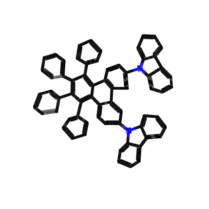 c1ccc(-c2c(-c3ccccc3)c(-c3ccccc3)c3c4ccc(-n5c6ccccc6c6ccccc65)cc4c4cc(-n5c6ccccc6c6ccccc65)ccc4c3c2-c2ccccc2)cc1